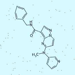 CN(c1cccnc1)c1ccn2ncc(C(=O)NCc3ccccc3)c2n1